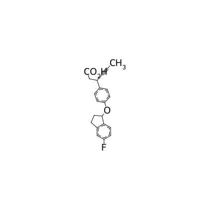 CC#CC(CC(=O)O)c1ccc(OC2CCc3cc(F)ccc32)cc1